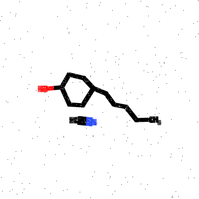 C#N.CCCCCC1CCC(O)CC1